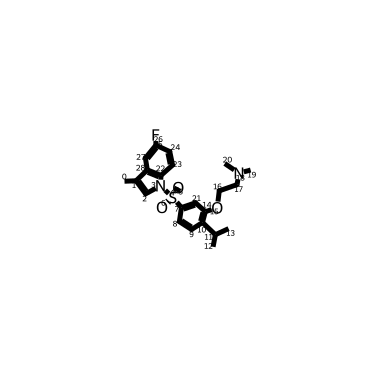 Cc1cn(S(=O)(=O)c2ccc(C(C)C)c(OCCN(C)C)c2)c2ccc(F)cc12